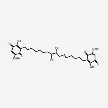 COC1=CC(=O)C(O)=C(CCCCCCCC(O)C(O)CCCCCCCC2=C(O)C(=O)C=C(OC)C2=O)C1=O